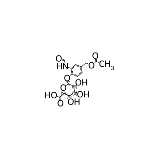 CC(=O)OCc1ccc(O[C@@H]2O[C@H](C(=O)O)[C@@H](O)[C@H](O)[C@H]2O)c(NC=O)c1